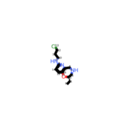 CC[C@@H]1CNCc2nc(NCCCCl)ccc2O1